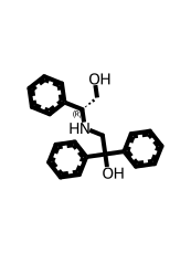 OC[C@H](NCC(O)(c1ccccc1)c1ccccc1)c1ccccc1